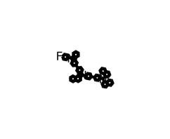 Fc1ccc(-n2c3ccccc3c3cc(-c4ccc5c(c4)c4c6ccccc6ccc4n5-c4ccc(-c5ccc(N(c6cccc7ccccc67)c6cccc7ccccc67)cc5)cc4)ccc32)cc1